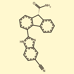 N#Cc1ccc2[nH]c(-c3cccc4c3-c3ccccc3[C@H]4C(N)=O)nc2c1